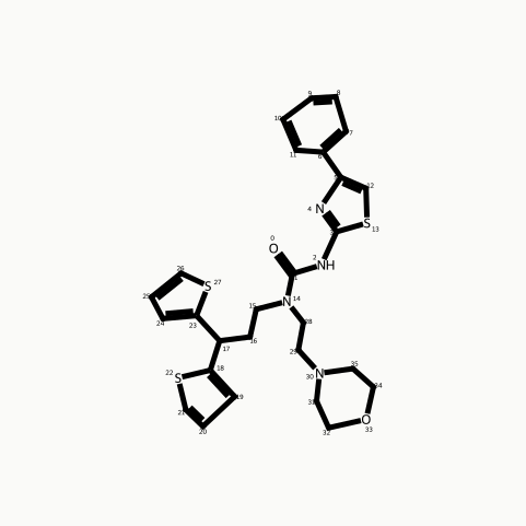 O=C(Nc1nc(-c2ccccc2)cs1)N(CCC(c1cccs1)c1cccs1)CCN1CCOCC1